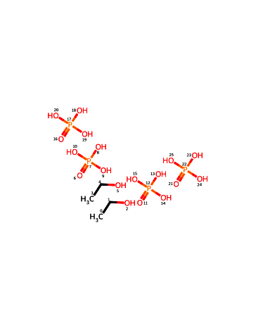 CCO.CCO.O=P(O)(O)O.O=P(O)(O)O.O=P(O)(O)O.O=P(O)(O)O